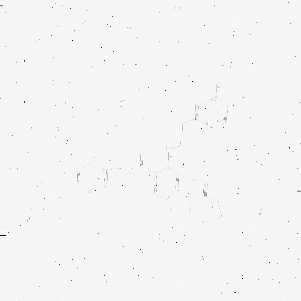 O=C(NCc1cccnc1)c1ccc(N2CCCCC2=O)nc1NCCc1cccc(F)c1